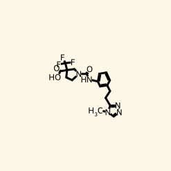 Cn1cnnc1CCc1cccc(NC(=O)N2CCC(C(=O)O)(C(F)(F)F)C2)c1